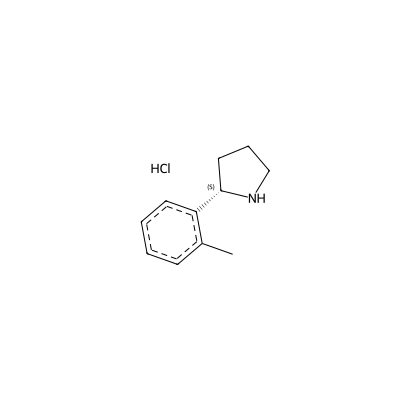 Cc1ccccc1[C@@H]1CCCN1.Cl